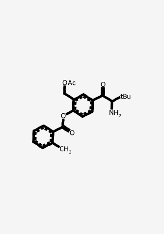 CC(=O)OCc1cc(C(=O)C(N)C(C)(C)C)ccc1OC(=O)c1ccccc1C